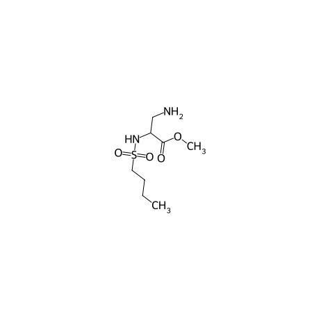 CCCCS(=O)(=O)NC(CN)C(=O)OC